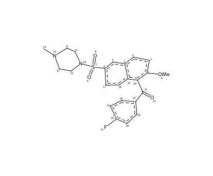 COc1ccc2cc(S(=O)(=O)N3CCN(C)CC3)ccc2c1C(=O)c1ccc(F)cc1